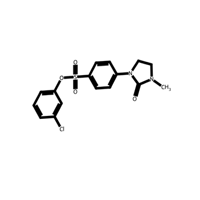 CN1CCN(c2ccc(S(=O)(=O)Oc3cccc(Cl)c3)cc2)C1=O